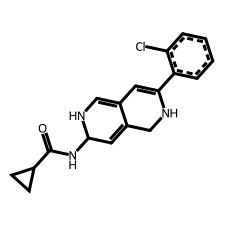 O=C(NC1C=C2CNC(c3ccccc3Cl)=CC2=CN1)C1CC1